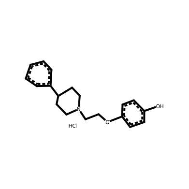 Cl.Oc1ccc(OCCN2CCC(c3ccccc3)CC2)cc1